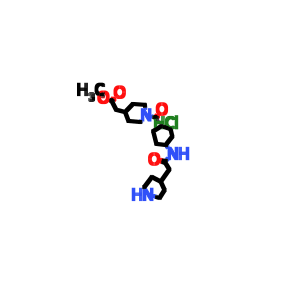 COC(=O)CC1CCN(C(=O)[C@H]2CC[C@H](NC(=O)CC3CCNCC3)CC2)CC1.Cl